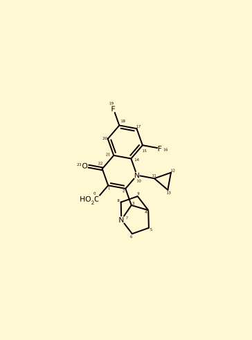 O=C(O)c1c(C2C3CCN2CC3)n(C2CC2)c2c(F)cc(F)cc2c1=O